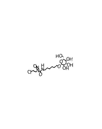 O=NN(CCCl)C(=O)NCCCCCCO[C@@H]1O[C@H](CO)[C@@H](O)[C@H](O)[C@H]1O